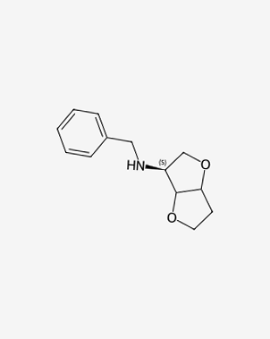 c1ccc(CN[C@H]2COC3CCOC32)cc1